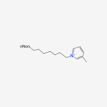 CCCCCCCCCCCCCCCC[n+]1cccc(C)c1